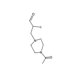 CC(=O)N1CCN(CC(I)C=O)CC1